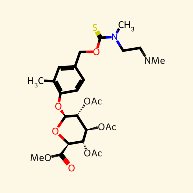 CNCCN(C)C(=S)OCc1ccc(O[C@@H]2O[C@H](C(=O)OC)[C@@H](OC(C)=O)[C@H](OC(C)=O)[C@H]2OC(C)=O)c(C)c1